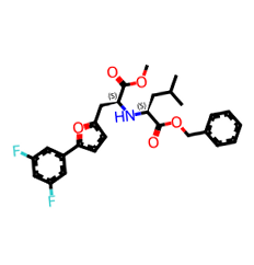 COC(=O)[C@H](Cc1ccc(-c2cc(F)cc(F)c2)o1)N[C@@H](CC(C)C)C(=O)OCc1ccccc1